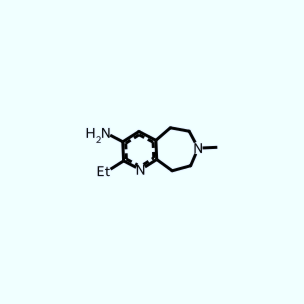 CCc1nc2c(cc1N)CCN(C)CC2